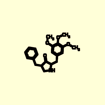 COc1cc(CC2NCC(Cc3ccccc3)C2=O)cc(OC)c1OC